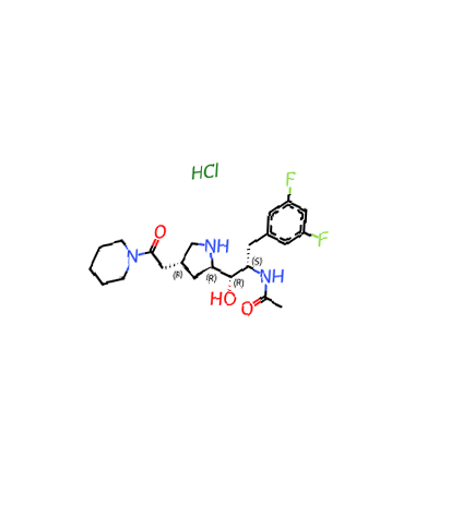 CC(=O)N[C@@H](Cc1cc(F)cc(F)c1)[C@H](O)[C@H]1C[C@H](CC(=O)N2CCCCC2)CN1.Cl